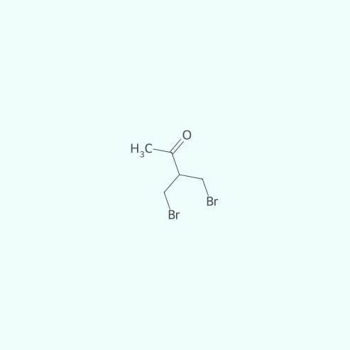 CC(=O)C(CBr)CBr